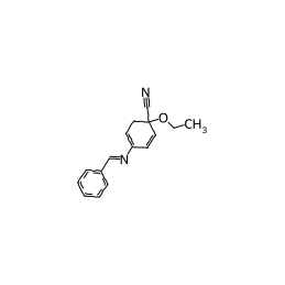 CCOC1(C#N)C=CC(N=Cc2ccccc2)=CC1